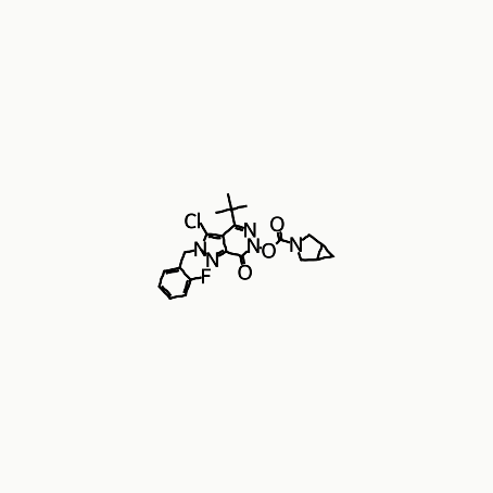 CC(C)(C)c1nn(OC(=O)N2CC3CC3C2)c(=O)c2nn(Cc3ccccc3F)c(Cl)c12